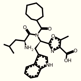 Cc1oc([C@@H](Cc2c[nH]c3ccccc23)N(C(=O)C2CCCCCC2)C(=O)[C@@H](N)CC(C)C)nc1C(=O)O